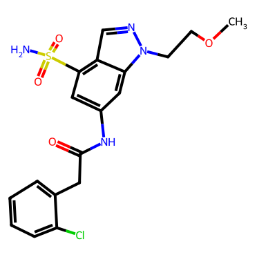 COCCn1ncc2c(S(N)(=O)=O)cc(NC(=O)Cc3ccccc3Cl)cc21